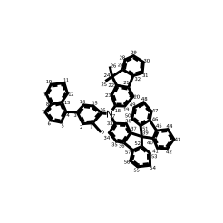 Cc1cc(-c2cccc3ccccc23)ccc1N(c1ccc2c(c1)C(C)(C)c1ccccc1-2)c1ccc2c(c1)C1(c3ccccc3-c3ccccc31)c1ccccc1-2